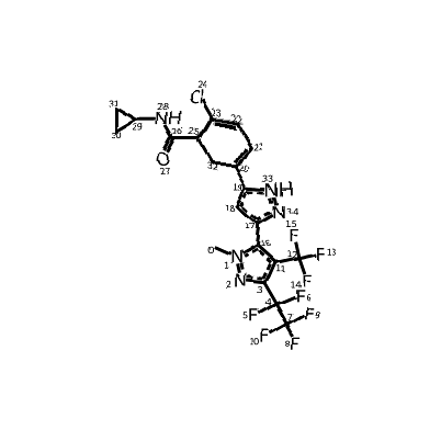 Cn1nc(C(F)(F)C(F)(F)F)c(C(F)(F)F)c1-c1cc(C2=CC=C(Cl)C(C(=O)NC3CC3)C2)[nH]n1